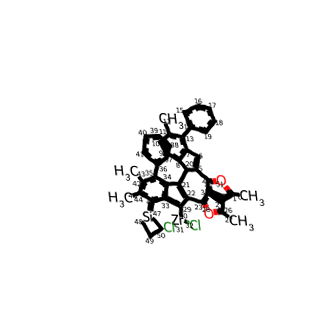 Cc1ccc(C2=Cc3c(ccc(C)c3-c3ccccc3)C2C2=C(c3ccc(C)o3)[C]([Zr]([Cl])[Cl])=c3c2c(-c2ccccc2)c(C)c(C)c3=[Si]2CCC2)o1